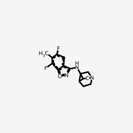 Cc1c(F)cc2c(NC3CN4CCC3CC4)noc2c1F